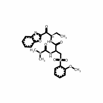 CC[C@@H](NC(=O)C(CS(=O)(=O)c1ccccc1OC)NC(=O)N(C)C)C(=O)c1nc2ccccc2o1